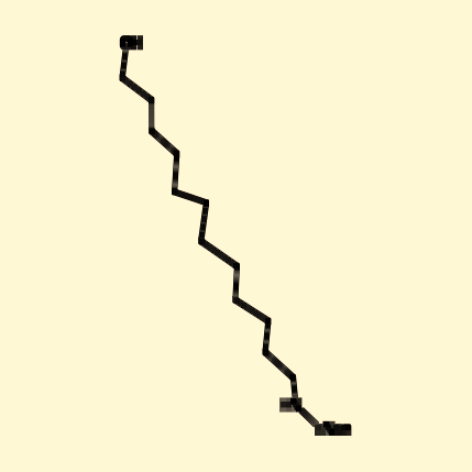 CCCCCCCCCNCCCCCCCCCCCCO